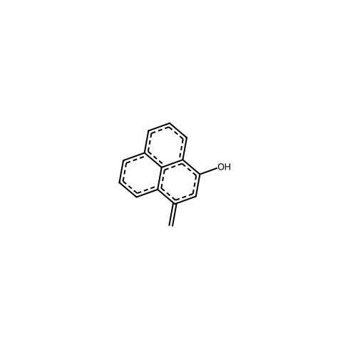 C=c1cc(O)c2cccc3cccc1c32